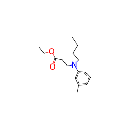 CCCCN(CCC(=O)OCC)c1cccc(C)c1